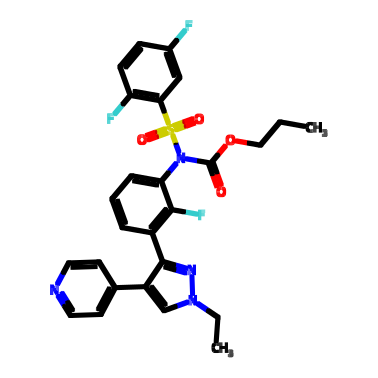 CCCOC(=O)N(c1cccc(-c2nn(CC)cc2-c2ccncc2)c1F)S(=O)(=O)c1cc(F)ccc1F